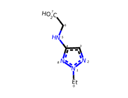 CCn1ncc(NCC(=O)O)n1